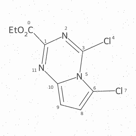 CCOC(=O)c1nc(Cl)n2c(Cl)ccc2n1